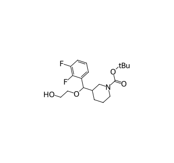 CC(C)(C)OC(=O)N1CCCC(C(OCCO)c2cccc(F)c2F)C1